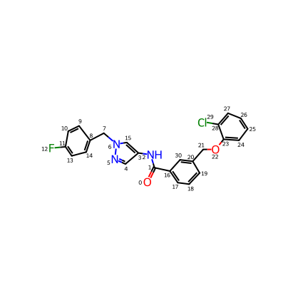 O=C(Nc1cnn(Cc2ccc(F)cc2)c1)c1cccc(COc2ccccc2Cl)c1